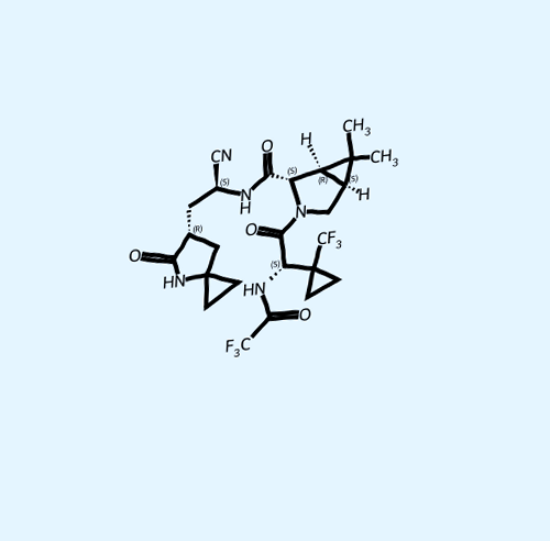 CC1(C)[C@@H]2[C@@H](C(=O)N[C@H](C#N)C[C@@H]3CC4(CC4)NC3=O)N(C(=O)[C@@H](NC(=O)C(F)(F)F)C3(C(F)(F)F)CC3)C[C@@H]21